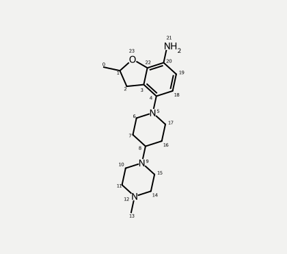 CC1Cc2c(N3CCC(N4CCN(C)CC4)CC3)ccc(N)c2O1